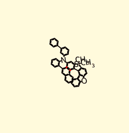 C[Si]1(C)c2cc(N(c3cccc(-c4ccccc4)c3)c3ccccc3-c3ccc4ccccc4c3)ccc2-c2c1ccc1oc3ccccc3c21